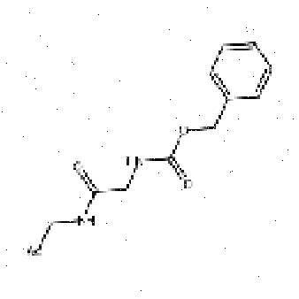 CC(=O)CNC(=O)CNC(=O)OCc1ccccc1